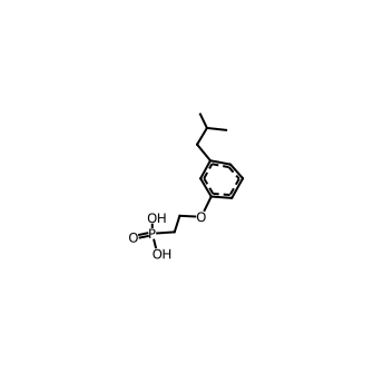 CC(C)Cc1cccc(OCCP(=O)(O)O)c1